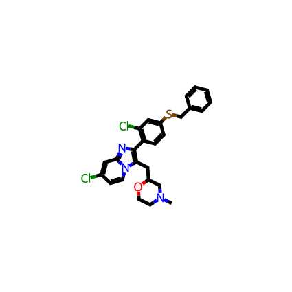 CN1CCOC(Cc2c(-c3ccc(SCc4ccccc4)cc3Cl)nc3cc(Cl)ccn23)C1